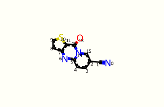 N#Cc1ccc2nc3ccsc3c(=O)n2c1